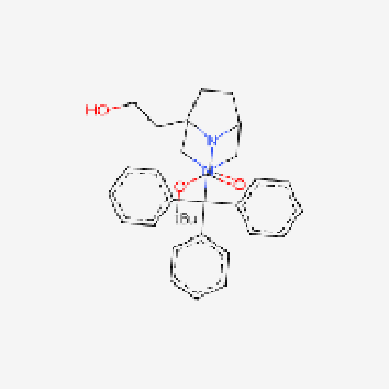 CC(C)(C)OC(=O)N1C2CCC1(CCO)CN(C(c1ccccc1)(c1ccccc1)c1ccccc1)C2